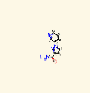 NC(=O)c1ccn(-c2cccnc2)n1